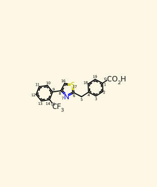 O=C(O)c1ccc(Cc2nc(-c3ccccc3C(F)(F)F)cs2)cc1